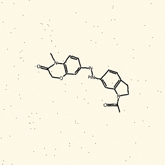 CC(=O)N1CCc2ccc(N[N]c3ccc4c(c3)OCC(=O)N4C)cc21